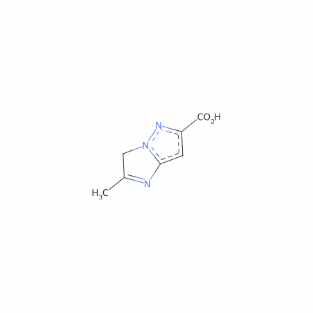 CC1=Nc2cc(C(=O)O)nn2C1